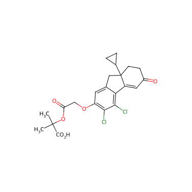 CC(C)(OC(=O)COc1cc2c(c(Cl)c1Cl)C1=CC(=O)CCC1(C1CC1)C2)C(=O)O